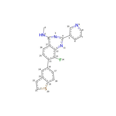 CNc1nc(-c2cccnc2)nc2c(F)c(-c3ccc4sccc4c3)ccc12